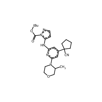 CC1COCCN1c1cc(C2(C#N)CCCC2)cc(Nc2ccnn2C(=O)OC(C)(C)C)n1